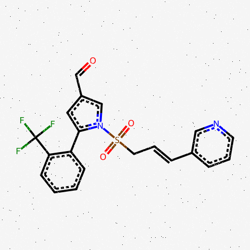 O=Cc1cc(-c2ccccc2C(F)(F)F)n(S(=O)(=O)CC=Cc2cccnc2)c1